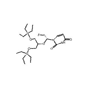 CC[Si](CC)(CC)OCC(CO[Si](CC)(CC)CC)O[C@H](CF)n1ccc(=O)[nH]c1=O